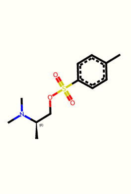 Cc1ccc(S(=O)(=O)OC[C@@H](C)N(C)C)cc1